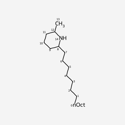 CCCCCCCCCCCCCCCC1CCCC(C)N1